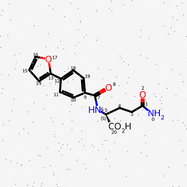 NC(=O)CC[C@H](NC(=O)c1ccc(-c2ccco2)cc1)C(=O)O